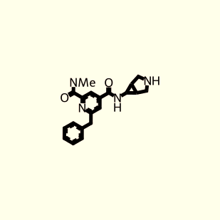 CNC(=O)c1cc(C(=O)NC2C3CNCC32)cc(Cc2ccccc2)n1